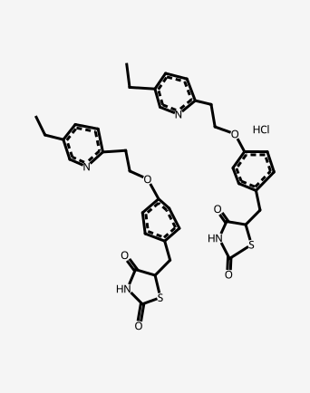 CCc1ccc(CCOc2ccc(CC3SC(=O)NC3=O)cc2)nc1.CCc1ccc(CCOc2ccc(CC3SC(=O)NC3=O)cc2)nc1.Cl